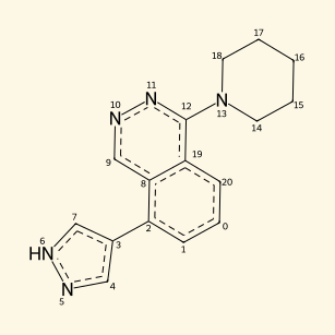 c1cc(-c2cn[nH]c2)c2cnnc(N3CCCCC3)c2c1